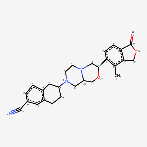 Cc1c([C@@H]2CN3CCN(C4CCc5cc(C#N)ccc5C4)CC3CO2)ccc2c1COC2=O